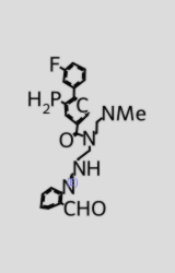 CNCCN(CCN/C=N/c1ccccc1C=O)C(=O)c1ccc(-c2cccc(F)c2)c(P)c1